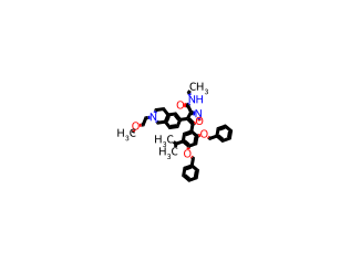 CCNC(=O)c1noc(-c2cc(C(C)C)c(OCc3ccccc3)cc2OCc2ccccc2)c1-c1ccc2c(c1)CCN(CCOC)C2